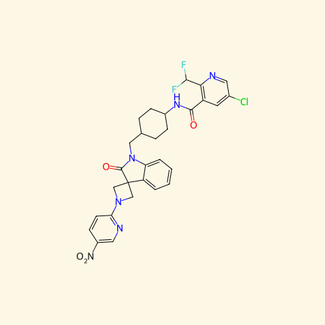 O=C(NC1CCC(CN2C(=O)C3(CN(c4ccc([N+](=O)[O-])cn4)C3)c3ccccc32)CC1)c1cc(Cl)cnc1C(F)F